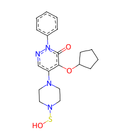 O=c1c(OC2CCCC2)c(N2CCN(SO)CC2)cnn1-c1ccccc1